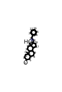 CC12CCC(=O)CC1CCC1C2CCC2(C)C1CC[C@@]2(O)/C=C/c1ccccc1